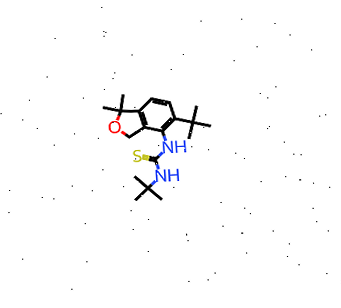 CC(C)(C)NC(=S)Nc1c(C(C)(C)C)ccc2c1COC2(C)C